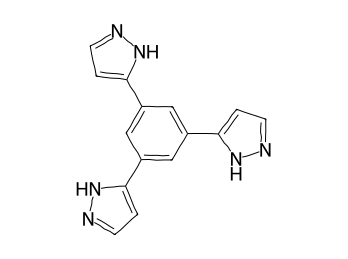 c1cc(-c2cc(-c3ccn[nH]3)cc(-c3ccn[nH]3)c2)[nH]n1